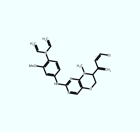 C=CN(C=C)c1ccc(Nc2ncc3c(n2)N(C)C(C(=C)/C=C\CC)CO3)cc1OC